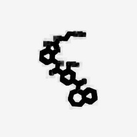 CNCCNc1nc2c(NC(=O)c3ccc(C(=O)N4CCCCc5ccccc54)cc3OC)cccc2[nH]1